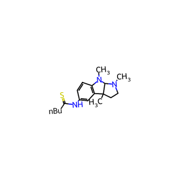 CCCCC(=S)Nc1ccc2c(c1)C1(C)CCN(C)C1N2C